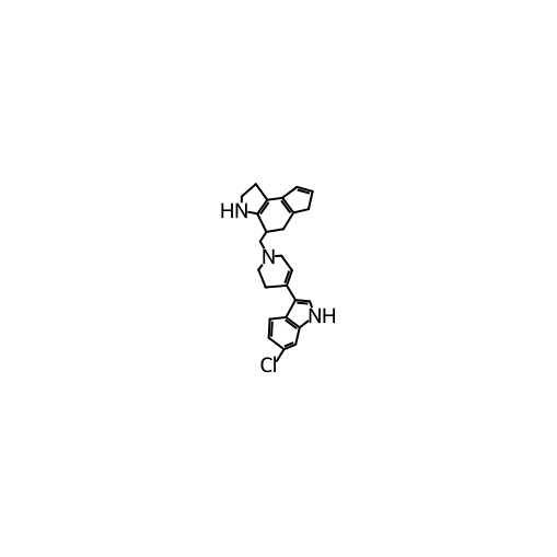 Clc1ccc2c(C3=CCN(CC4CC5=C(C=CC5)C5=C4NCC5)CC3)c[nH]c2c1